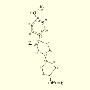 CCCCCC1CCC(C2CC[C@@H](c3ccc(OCC)cc3)[C@H](C)C2)CC1